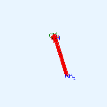 COc1cc(COCCOCCOCCOCCOCCOCCOCCOCCOCCOCCOCCOCCOCCOCCOCCOCCOCCOCCOCCOCCOCCOCCOCCOCCN)cc(OC)c1-c1ccc(C[C@H](NC(=O)[C@@H]2CCCN2S(=O)(=O)c2cc(Cl)cc(Cl)c2)C(=O)O)cc1